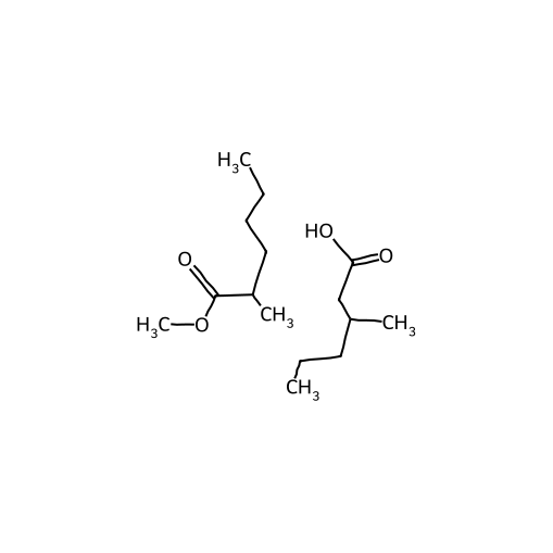 CCCC(C)CC(=O)O.CCCCC(C)C(=O)OC